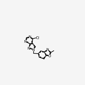 Cc1nc2cc(Cn3cc4c(Cl)ncnc4n3)ccc2o1